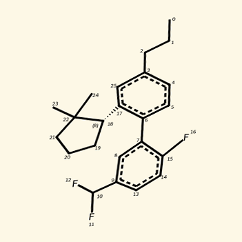 CCCc1ccc(-c2cc(C(F)F)ccc2F)c([C@@H]2CCCC2(C)C)c1